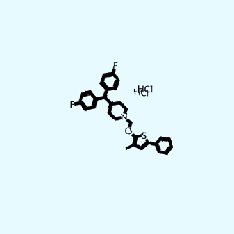 Cc1cc(-c2ccccc2)sc1OCN1CCC(C(c2ccc(F)cc2)c2ccc(F)cc2)CC1.Cl.Cl